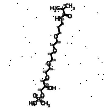 CC(C)C(=O)NCCCOCCOCCOCCOCC(O)COP(C)(=O)O